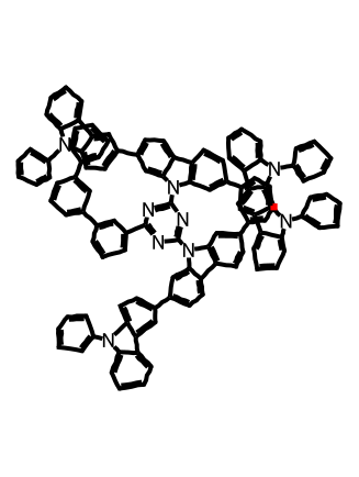 c1ccc(-c2cccc(-c3cccc(-c4nc(-n5c6cc(-c7ccc8c(c7)c7ccccc7n8-c7ccccc7)ccc6c6ccc(-c7ccc8c(c7)c7ccccc7n8-c7ccccc7)cc65)nc(-n5c6cc(-c7ccc8c(c7)c7ccccc7n8-c7ccccc7)ccc6c6ccc(-c7ccc8c(c7)c7ccccc7n8-c7ccccc7)cc65)n4)c3)c2)cc1